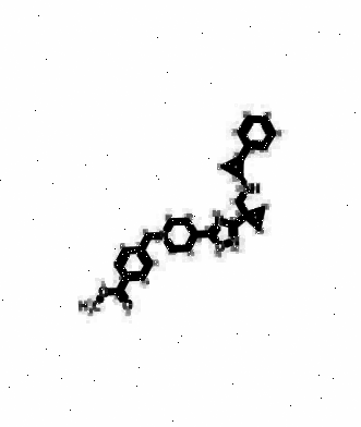 COC(=O)c1ccc(CN2CCC(c3nc(C4(CN[C@H]5CC5c5ccccc5)CC4)no3)CC2)cc1